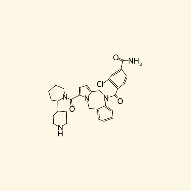 NC(=O)c1ccc(C(=O)N2Cc3ccc(C(=O)N4CCCCC4C4CCNCC4)n3Cc3ccccc32)c(Cl)c1